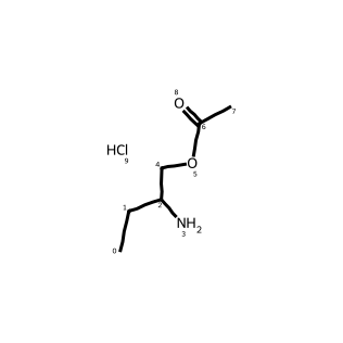 CCC(N)COC(C)=O.Cl